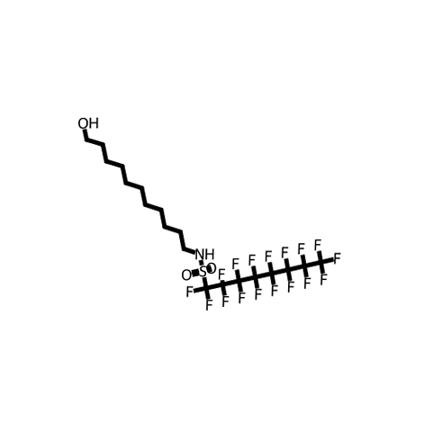 O=S(=O)(NCCCCCCCCCCCO)C(F)(F)C(F)(F)C(F)(F)C(F)(F)C(F)(F)C(F)(F)C(F)(F)C(F)(F)F